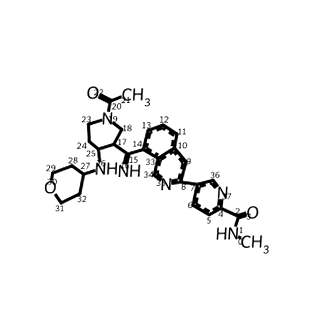 CNC(=O)c1ccc(-c2cc3cccc(C(=N)C4CN(C(C)=O)CCC4NC4CCOCC4)c3cn2)cn1